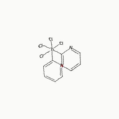 [Cl][Ti]([Cl])([Cl])([Cl])([c]1ccccn1)[c]1ccccn1